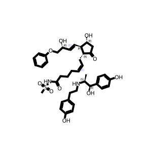 CS(=O)(=O)NC(=O)CCC/C=C\C[C@H]1C(=O)C[C@@H](O)[C@@H]1/C=C/[C@@H](O)COc1ccccc1.C[C@H](NCCc1ccc(O)cc1)[C@H](O)c1ccc(O)cc1